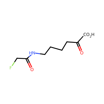 O=C(CF)NCCCCC(=O)C(=O)O